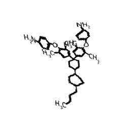 CCCC[C@H]1CC[C@@H](C2CCC(c3cc(C)c(Oc4ccc(N)cc4)c(C)c3)(c3cc(C)c(Oc4ccc(N)cc4)c(C)c3)CC2)CC1